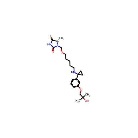 C[C@H]1C(=S)NC(=O)N1COCCCCCNC1(c2cccc(OCC(C)(C)O)c2)CC1